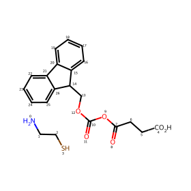 NCCS.O=C(O)CCC(=O)OC(=O)OCC1c2ccccc2-c2ccccc21